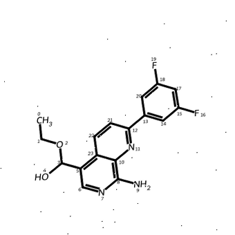 CCOC(O)c1cnc(N)c2nc(-c3cc(F)cc(F)c3)ccc12